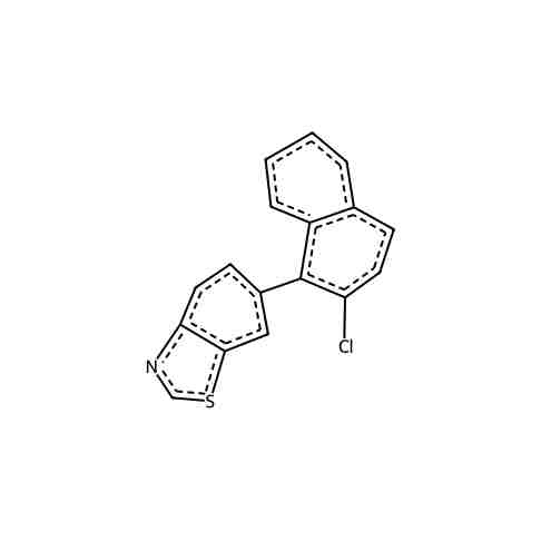 Clc1ccc2ccccc2c1-c1ccc2ncsc2c1